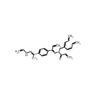 C=C/C=C\C(=C/C=C)CN(/N=C(\C=C)c1ccc(/C(C)=N/NC=C)cc1)C(=O)C=C